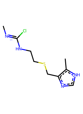 C/N=C(\Cl)NCCSCc1nc[nH]c1C